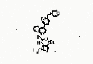 Cn1ncc(C(C)(C)C)c1NC(=O)Nc1ccc(-c2ccc(CN3CCOCC3)nc2)c2ccccc12